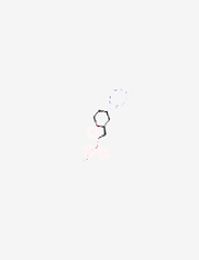 CCOC(=O)c1cc2cc(N3CCNCC3)ccc2o1